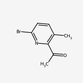 CC(=O)c1nc(Br)ccc1C